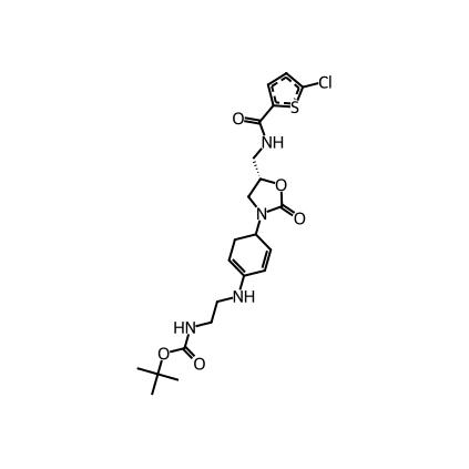 CC(C)(C)OC(=O)NCCNC1=CCC(N2C[C@H](CNC(=O)c3ccc(Cl)s3)OC2=O)C=C1